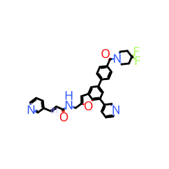 O=C(/C=C/c1cccnc1)NCc1cc2cc(-c3ccc(C(=O)N4CCC(F)(F)CC4)cc3)cc(-c3cccnc3)c2o1